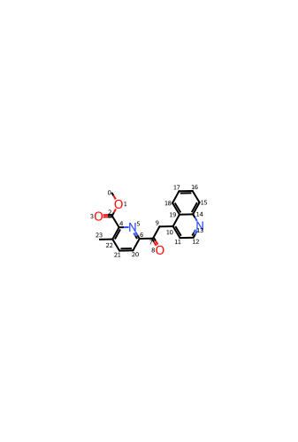 COC(=O)c1nc(C(=O)Cc2ccnc3ccccc23)ccc1C